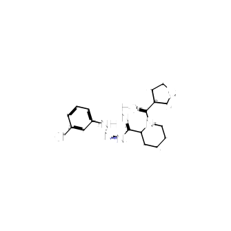 N=C(/N=N\Nc1cccc(Cl)c1)C1CCCCN1C(=O)C1CCOC1